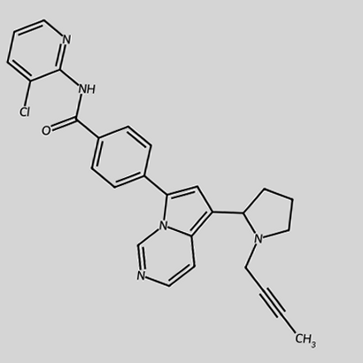 CC#CCN1CCCC1c1cc(-c2ccc(C(=O)Nc3ncccc3Cl)cc2)n2cnccc12